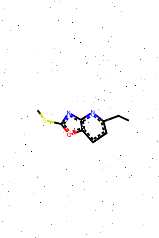 CCc1ccc2oc(SC)nc2n1